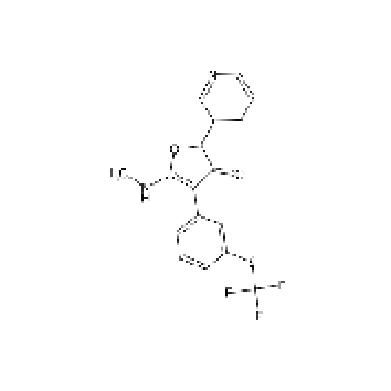 CNC1=C(c2cccc(SC(F)(F)F)c2)C(=O)C(c2cccnc2)O1